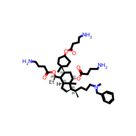 CC[C@@H](OC(=O)CCCN)C1[C@@H](C2(C)CCC(OC(=O)CCCN)CC2)C[C@H](OC(=O)CCCN)C2(C)[C@@H]([C@H](C)CCCN(C)Cc3ccccc3)CC[C@@H]12